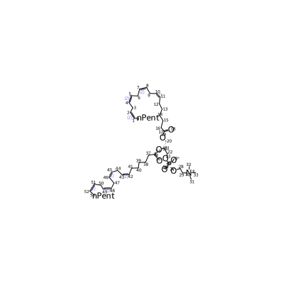 CCCCC/C=C\C/C=C\C/C=C\C/C=C\CCCCCC(=O)OC[C@H](COP(=O)([O-])OCC[N+](C)(C)C)OC(=O)CCCCC/C=C\C/C=C\C/C=C\C/C=C\CCCCC